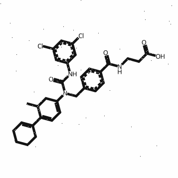 CC1CC(N(Cc2ccc(C(=O)NCCC(=O)O)cc2)C(=O)Nc2cc(Cl)cc(Cl)c2)=CC=C1C1=CCCCC1